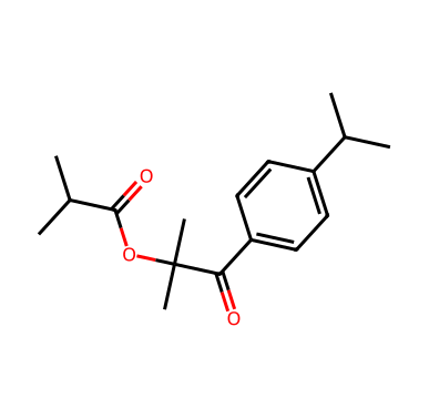 CC(C)C(=O)OC(C)(C)C(=O)c1ccc(C(C)C)cc1